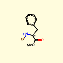 COC(=O)[C@H](Cc1ccccc1)NBr